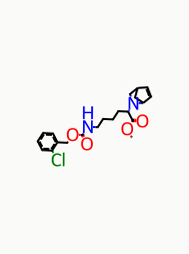 COC(=O)C(CCCCNC(=O)OCc1ccccc1Cl)N1CC2C=CC1C2